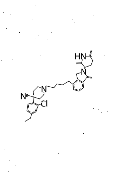 C=C1CCC(N2Cc3c(CCCCCN4CCC(C#N)(c5ccc(CC)cc5Cl)CC4)cccc3C2=C)C(=C)N1